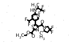 CCOC(=O)c1nc(C(=O)N2CC(F)(F)C[C@@H]2C)c(-c2cnc(NC(C)C(F)(F)F)cc2C(F)F)s1